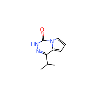 CC(C)c1n[nH]c(=O)n2cccc12